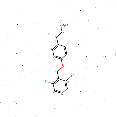 CCOC(=O)CCc1ccc(OCc2c(F)cccc2I)cc1